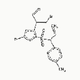 C=CC(c1ccc(C)cc1)S(=O)(=O)n1cc(F)cc1C(C=O)CBr